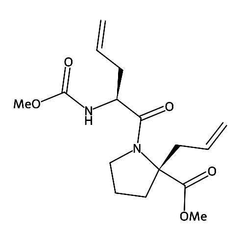 C=CC[C@H](NC(=O)OC)C(=O)N1CCC[C@@]1(CC=C)C(=O)OC